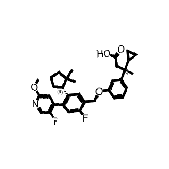 COc1cc(-c2cc(F)c(COc3cccc([C@](C)(CC(=O)O)C4CC4)c3)cc2[C@@H]2CCCC2(C)C)c(F)cn1